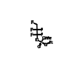 CCOP(=O)(OC)OC(F)(F)C(F)(F)CF